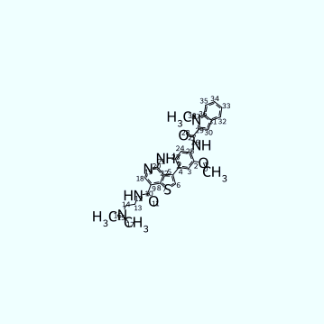 COc1cc(-c2csc3c(C(=O)NCCN(C)C)cnc(N)c23)ccc1NC(=O)c1cc2ccccc2n1C